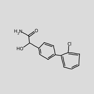 NC(=O)C(O)c1ccc(-c2ccccc2Cl)cc1